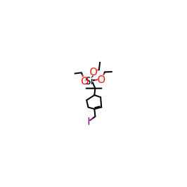 CCO[Si](OCC)(OCC)C(C)(C)C1CC=C(CI)CC1